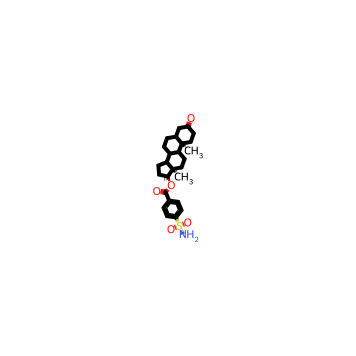 C[C@]12CCC(=O)CC1CCC1C2CC[C@@]2(C)C1CC[C@@H]2OC(=O)c1ccc(S(N)(=O)=O)cc1